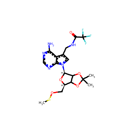 CSOC[C@H]1O[C@@H](n2cc(CNC(=O)C(F)(F)F)c3c(N)ncnc32)C2OC(C)(C)OC21